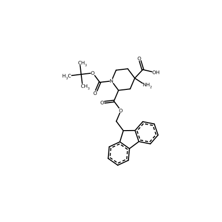 CC(C)(C)OC(=O)N1CCC(N)(C(=O)O)CC1C(=O)OCC1c2ccccc2-c2ccccc21